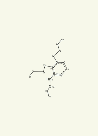 CCCCc1cccc(POCC)c1CCCC